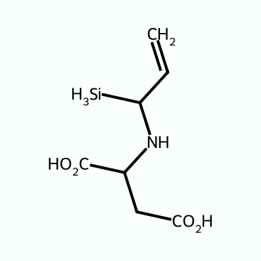 C=CC([SiH3])NC(CC(=O)O)C(=O)O